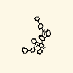 C1=Cc2c(n(-c3cccc(-c4ccccc4)c3)c3c2c(-c2ccc4c(c2)c2ccccc2n4-c2ccc(-c4ccccc4)cc2)cc2sc4ccccc4c23)CC1